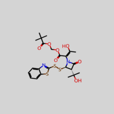 C/C(O)=C(/C(=O)OCOC(=O)C(C)(C)C)N1C(=O)[C@H](C(C)(C)O)[C@H]1SSc1nc2ccccc2s1